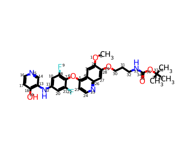 COc1cc2c(Oc3c(F)cc(Nc4cnccc4O)cc3F)ccnc2cc1OCCCNC(=O)OC(C)(C)C